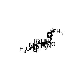 CC[C@H](N)C(=O)NNC(=O)NCC(=O)N[C@@H](Cc1cccc(OC)c1)C(N)=O